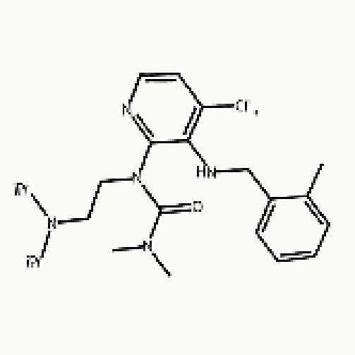 Cc1ccccc1CNc1c(C(F)(F)F)ccnc1N(CCN(C(C)C)C(C)C)C(=O)N(C)C